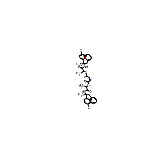 CC(Cc1ccccc1)(NC(=O)C(N)OC(=O)/C=C\C(=O)OC(N)C(=O)NC(C)(Cc1ccccc1)c1ccc(Cl)cc1)c1ccc(Cl)cc1